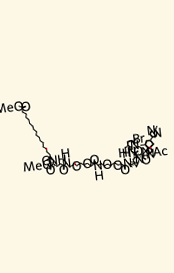 COC(=O)CCCCCCCCCCCCCCCCC(=O)N[C@@H](CCC(=O)NCCOCCOCC(=O)NCCOCCOCC(=O)NC[C@]12CC1N(C(=O)Cn1nc(C(C)=O)c3cc(-c4cnc(C)nc4)cc(C)c31)[C@H](C(=O)Nc1nc(Br)ccc1C)C2)C(=O)OC